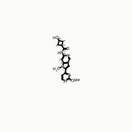 COc1nccc(-c2cc3cnc(NC(=O)C4CC(O)C4)cc3n2C)n1